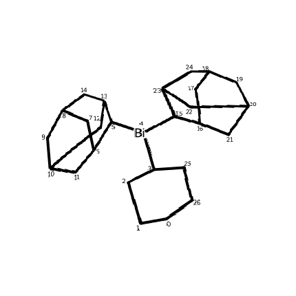 C1CC[CH]([Bi]([CH]2C3CC4CC(C3)CC2C4)[CH]2C3CC4CC(C3)CC2C4)CC1